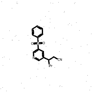 CC(C)C(CC#N)c1cncc(S(=O)(=O)c2ccccc2)c1